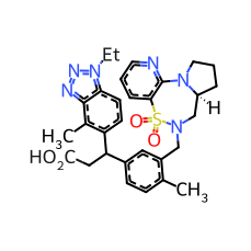 CCn1nnc2c(C)c(C(CC(=O)O)c3ccc(C)c(CN4C[C@@H]5CCCN5c5ncccc5S4(=O)=O)c3)ccc21